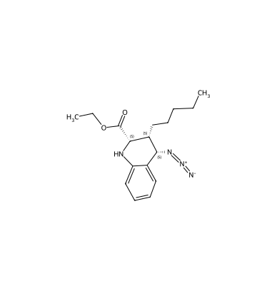 CCCCC[C@H]1[C@@H](C(=O)OCC)Nc2ccccc2[C@H]1N=[N+]=[N-]